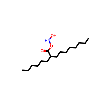 CCCCCCCCC(CCCCCC)C(=O)ONO